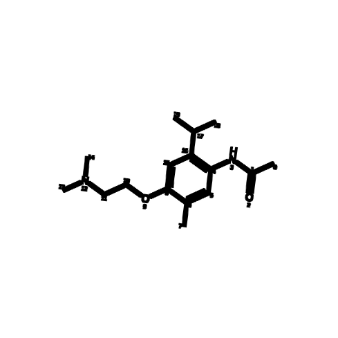 CC(=O)Nc1cc(C)c(OCCN(C)C)cc1C(C)C